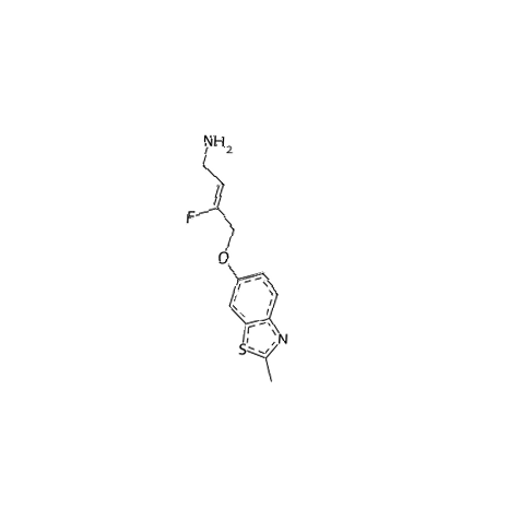 Cc1nc2ccc(OCC(F)=CCN)cc2s1